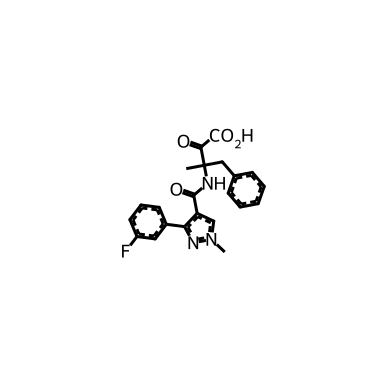 Cn1cc(C(=O)NC(C)(Cc2ccccc2)C(=O)C(=O)O)c(-c2cccc(F)c2)n1